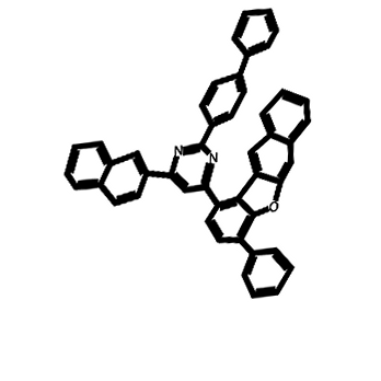 c1ccc(-c2ccc(-c3nc(-c4ccc5ccccc5c4)cc(-c4ccc(-c5ccccc5)c5oc6cc7ccccc7cc6c45)n3)cc2)cc1